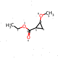 CCOC(=O)C1CC1OC